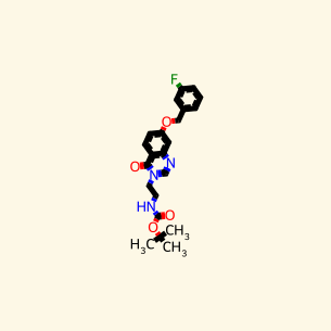 CC(C)(C)OC(=O)NCCn1cnc2cc(OCc3cccc(F)c3)ccc2c1=O